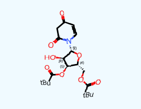 CC(C)(C)C(=O)OC[C@H]1O[C@@H](N2C=CC(=O)CC2=O)[C@H](O)[C@@H]1OC(=O)C(C)(C)C